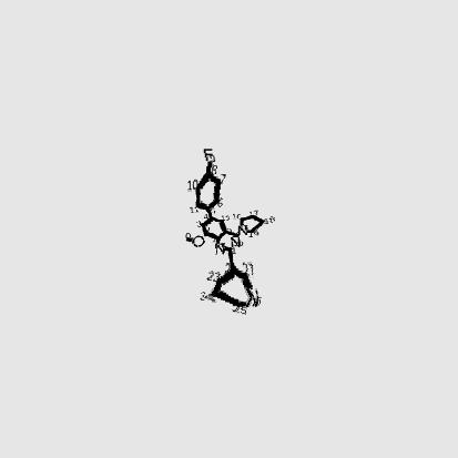 COc1cc(-c2ccc(F)cc2)cc2c(N3CCCC3)nc(-c3cccnc3)nc12